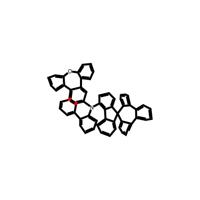 c1ccc(-c2ccccc2N(c2ccc3c(c2)-c2ccccc2Oc2ccccc2-3)c2cccc3c2-c2ccccc2C32c3ccccc3-c3ccccc3-c3ccccc32)cc1